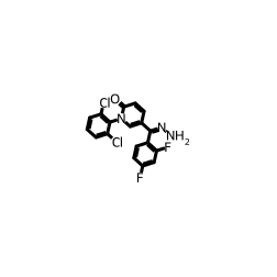 NN=C(c1ccc(=O)n(-c2c(Cl)cccc2Cl)c1)c1ccc(F)cc1F